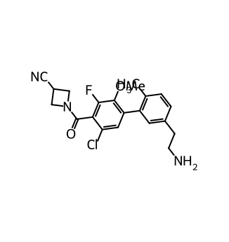 COc1c(-c2cc(CCN)ccc2C)cc(Cl)c(C(=O)N2CC(C#N)C2)c1F